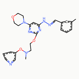 Cc1cccc(/C=N/Nc2cc(N3CCOCC3)nc(OCCN(C)Oc3cccnc3)n2)c1